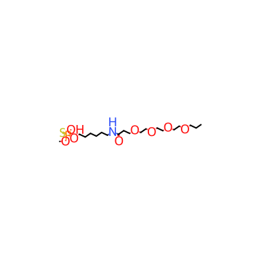 CCCOCCOCCOCCOCCC(=O)NCCCCCCOP(O)(=S)OC